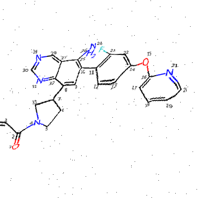 C=CC(=O)N1CCC(c2cc(-c3ccc(Oc4ccccn4)cc3F)c(N)c3cncnc23)C1